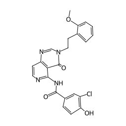 COc1ccccc1CCn1cnc2ccnc(NC(=O)c3ccc(O)c(Cl)c3)c2c1=O